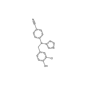 N#Cc1ccc(N(Cc2ccc(O)c(Cl)c2)n2ccnc2)cc1